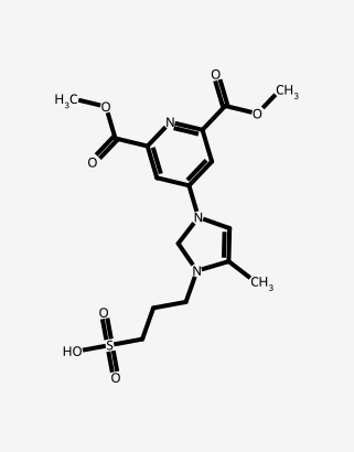 COC(=O)c1cc(N2C=C(C)N(CCCS(=O)(=O)O)C2)cc(C(=O)OC)n1